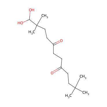 CC(C)(C)CCC(=O)CCC(=O)CCC(C)(C)C(O)O